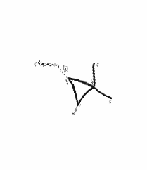 C[C@H]1[CH]C1(C)C